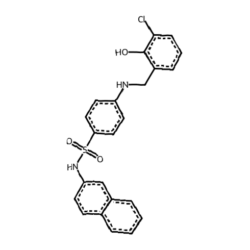 O=S(=O)(Nc1ccc2ccccc2c1)c1ccc(NCc2cccc(Cl)c2O)cc1